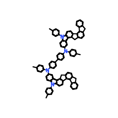 Cc1ccc(N(c2ccc(-c3ccc(N(c4ccc(C)cc4)c4ccc5c(c4)c4c6c(ccc4n5-c4ccc(C)cc4)-c4c(ccc5c4-c4ccccc4C5)C6)cc3)cc2)c2ccc3c(c2)c2c4c(ccc2n3-c2ccc(C)cc2)-c2c(ccc3c2-c2ccccc2C3)C4)cc1